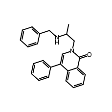 CC(Cn1cc(-c2ccccc2)c2ccccc2c1=O)NCc1ccccc1